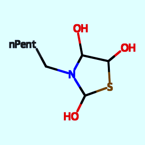 [CH2]CCCCCN1C(O)SC(O)C1O